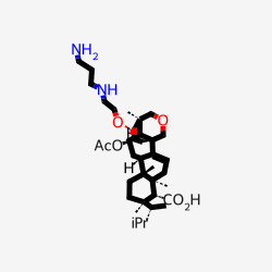 CC(=O)O[C@@H]1C[C@]23COC[C@@](C)([C@@H]2CC[C@H]2C3=CC[C@@]3(C)[C@H](C(=O)O)[C@@](C)([C@H](C)C(C)C)CC[C@]23C)[C@H]1OCCNCCCN